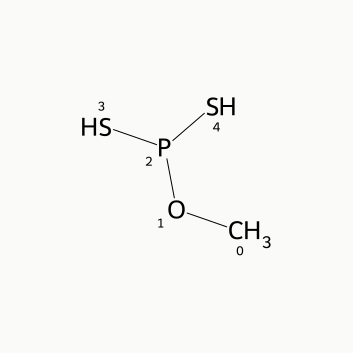 COP(S)S